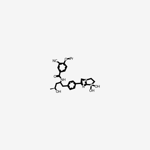 CC(C)Oc1ccc(C(=O)NC(Cc2ccc(-c3cn4c(n3)S(O)(O)CC4)cc2)C[C@H](C)O)cc1C#N